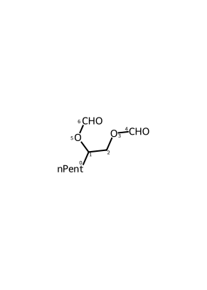 CCCCCC(COC=O)OC=O